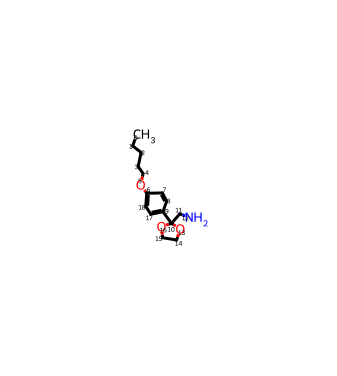 CCCCCOc1ccc(C2(CN)OCCO2)cc1